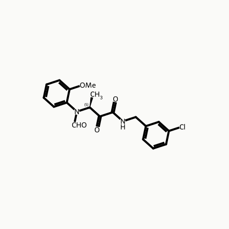 COc1ccccc1N(C=O)[C@@H](C)C(=O)C(=O)NCc1cccc(Cl)c1